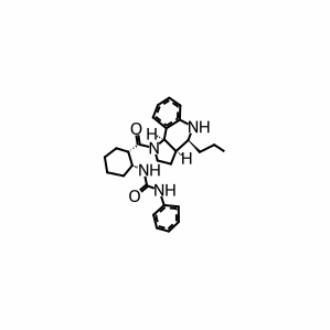 CCC[C@@H]1Nc2ccccc2[C@H]2[C@@H]1CCN2C(=O)[C@H]1CCCC[C@H]1NC(=O)Nc1ccccc1